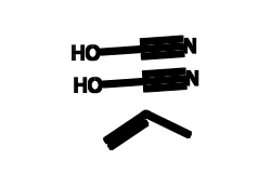 C=CC.N#CO.N#CO